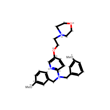 COc1cccc(CN(Cc2cccc(OC)c2)c2ccc(OCCN3CCOCC3)cn2)c1